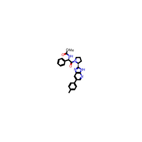 COC(=O)N[C@@H](C(=O)N1CCC[C@H]1c1nc2cc(-c3ccc(C)cc3)cnc2[nH]1)c1ccccc1